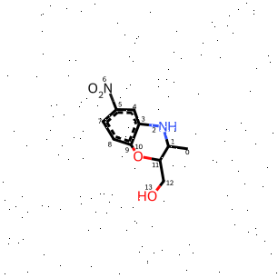 CC1Nc2cc([N+](=O)[O-])ccc2OC1CO